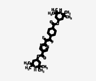 CC1(C)CC(OC(=O)c2cnc(/C(F)=C(\F)C3CCC(C(=O)OC4CC(C)(C)NC(C)(C)C4)CC3)nc2)CC(C)(C)N1